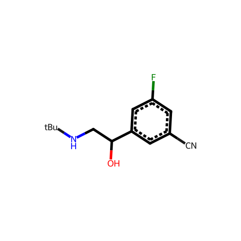 CC(C)(C)NCC(O)c1cc(F)cc(C#N)c1